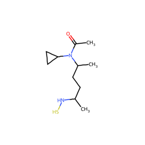 CC(=O)N(C(C)CCC(C)NS)C1CC1